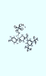 CS(=O)(=O)OCC[C@]1(c2ccc(F)cc2)CN(C(=O)c2cc(C(F)(F)F)cc(C(F)(F)F)c2)CO1